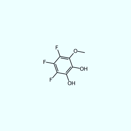 COc1c(O)c(O)c(F)c(F)c1F